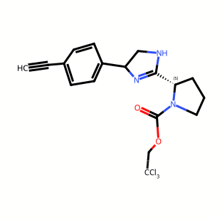 C#Cc1ccc(C2CNC([C@@H]3CCCN3C(=O)OCC(Cl)(Cl)Cl)=N2)cc1